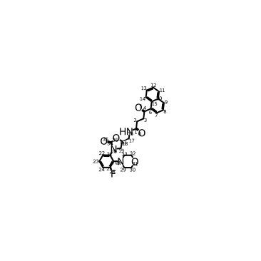 O=C(CCC(=O)c1cccc2ccccc12)NC[C@H]1CN(c2cccc(F)c2N2CCOCC2)C(=O)O1